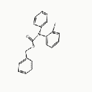 O=C(OCc1ccccc1)N(c1ccccc1)c1ccccc1I